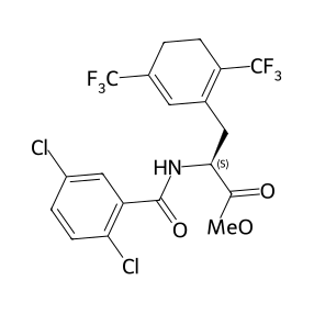 COC(=O)[C@H](CC1=C(C(F)(F)F)CCC(C(F)(F)F)=C1)NC(=O)c1cc(Cl)ccc1Cl